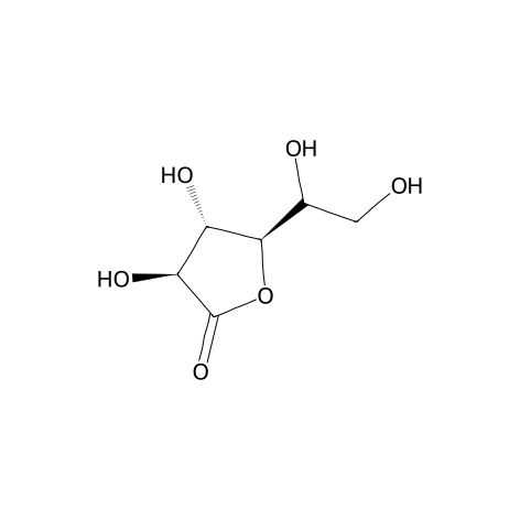 O=C1O[C@H](C(O)CO)[C@@H](O)[C@@H]1O